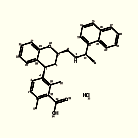 Cc1ccc([C@@H]2C[C@H](CN[C@H](C)c3cccc4ccccc34)Oc3ccccc32)c(C)c1C(=O)O.Cl